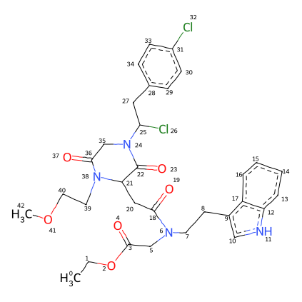 CCOC(=O)CN(CCc1c[nH]c2ccccc12)C(=O)CC1C(=O)N(C(Cl)Cc2ccc(Cl)cc2)CC(=O)N1CCOC